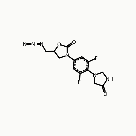 [N-]=[N+]=NCC1CN(c2cc(F)c(N3CNC(=O)C3)c(F)c2)C(=O)O1